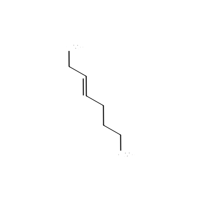 COC/C=C/CCCOC